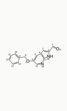 O=Cc1cc2cc(OCc3ccccc3)cnc2[nH]1